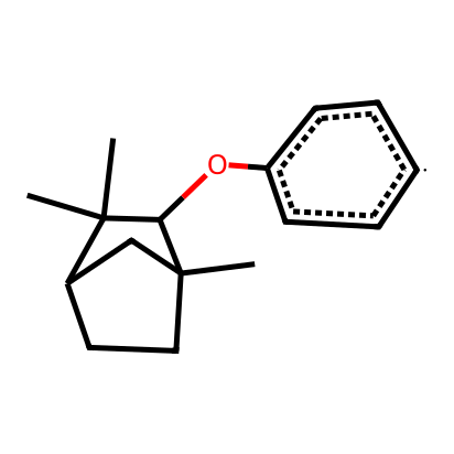 CC12CCC(C1)C(C)(C)C2Oc1cc[c]cc1